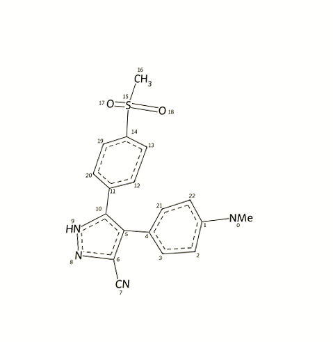 CNc1ccc(-c2c(C#N)n[nH]c2-c2ccc(S(C)(=O)=O)cc2)cc1